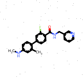 CNc1ccc(-c2ccc(C(=O)NCc3cccnc3)c(F)c2)c(C)c1